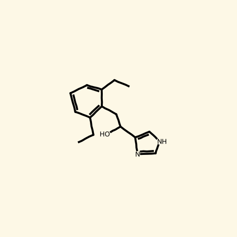 CCc1cccc(CC)c1CC(O)c1c[nH]cn1